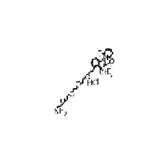 Cl.Cn1c(=O)n(N2C(=O)CCCC2=O)c2cccc(CCOCCOCCOCCOCCN)c21